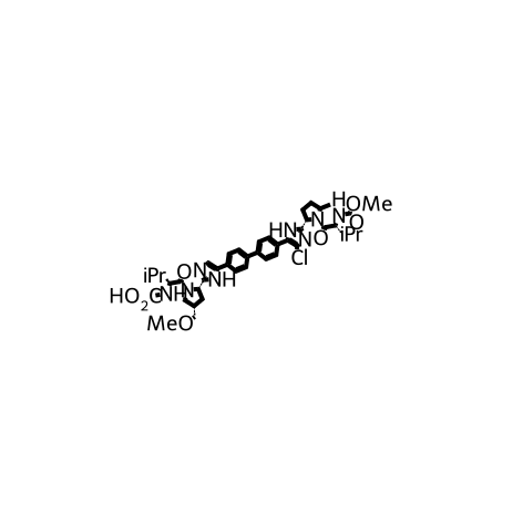 COC[C@H]1C[C@@H](c2ncc(-c3ccc(-c4ccc(-c5[nH]c([C@@H]6CCC(C)N6C(=O)[C@H](NC(=O)OC)C(C)C)nc5Cl)cc4)cc3)[nH]2)N(C(=O)[C@@H](NC(=O)O)C(C)C)C1